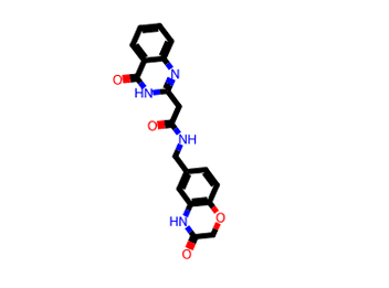 O=C(Cc1nc2ccccc2c(=O)[nH]1)NCc1ccc2c(c1)NC(=O)CO2